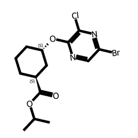 CC(C)OC(=O)[C@H]1CCC[C@H](Oc2ncc(Br)nc2Cl)C1